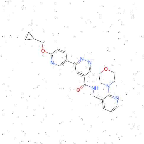 O=C(NCc1cccnc1N1CCOCC1)c1cnnc(-c2ccc(OCC3CC3)nc2)c1